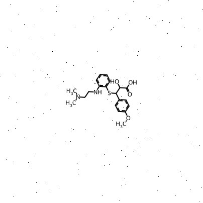 COc1ccc(C(Sc2ccccc2NCCN(C)C)C(O)C(=O)O)cc1